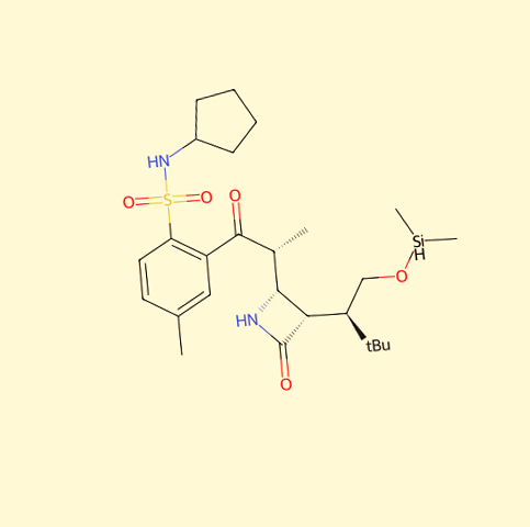 Cc1ccc(S(=O)(=O)NC2CCCC2)c(C(=O)[C@H](C)[C@H]2NC(=O)[C@H]2[C@@H](CO[SiH](C)C)C(C)(C)C)c1